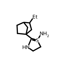 CCC1CC2(C3=S(N)CCN3)CCC1C2